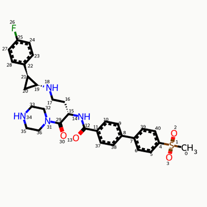 CS(=O)(=O)c1ccc(-c2ccc(C(=O)N[C@@H](CCN[C@@H]3C[C@H]3c3ccc(F)cc3)C(=O)N3CCNCC3)cc2)cc1